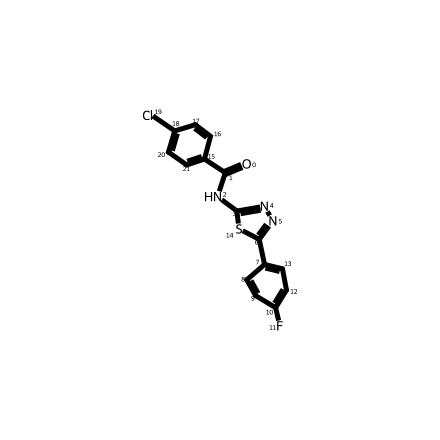 O=C(Nc1nnc(-c2ccc(F)cc2)s1)c1ccc(Cl)cc1